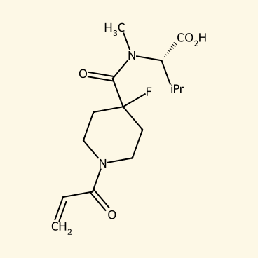 C=CC(=O)N1CCC(F)(C(=O)N(C)[C@H](C(=O)O)C(C)C)CC1